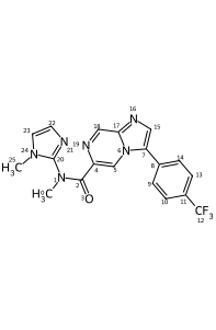 CN(C(=O)c1cn2c(-c3ccc(C(F)(F)F)cc3)cnc2cn1)c1nccn1C